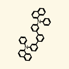 c1ccc(N(c2cccc(-c3cccc(-c4cccc(N(c5ccccc5)c5cccc6ccccc56)c4)c3)c2)c2cccc3ccccc23)cc1